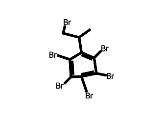 CC(CBr)c1c(Br)c(Br)c(Br)c(Br)c1Br